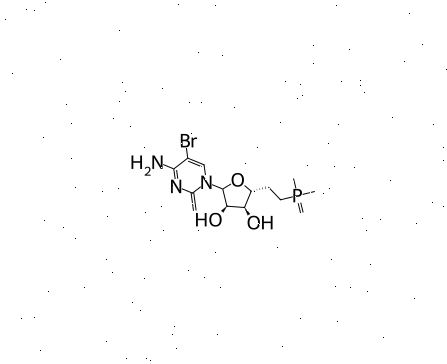 C=C1N=C(N)C(Br)=CN1C1O[C@H](CCP(=C)(C)C)[C@@H](O)[C@H]1O